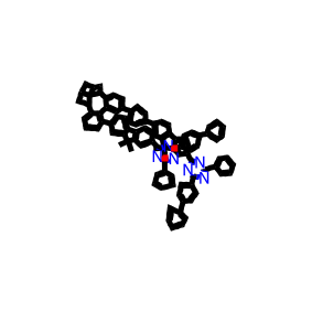 CC1(C)c2cc(-c3ccc(-c4ccc5c(c4)-c4c(-c6ccc7c(c6)C(C)(C)c6cc(-c8nc(-c9ccccc9)nc(-c9ccc(-c%10ccccc%10)cc9)n8)ccc6-7)cccc4C4CC6CC7CC5C764)cc3)ccc2-c2ccc(-c3nc(-c4ccccc4)nc(-c4ccc(-c5ccccc5)cc4)n3)cc21